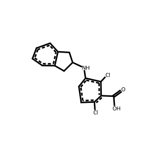 O=C(O)c1c(Cl)ccc(NC2Cc3ccccc3C2)c1Cl